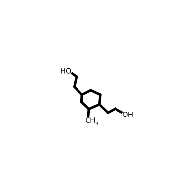 CC1CC(CCO)CCC1CCO